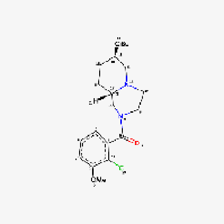 COc1cccc(C(=O)N2CCN3C[C@H](OCC(C)C)CC[C@H]3C2)c1Cl